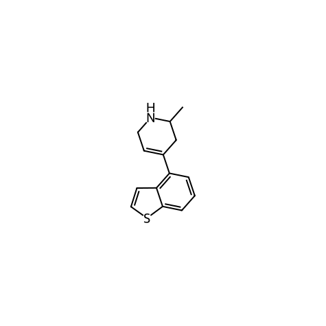 CC1CC(c2cccc3sccc23)=CCN1